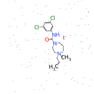 C=CC[N+]1(C)CCCN(C(=O)Nc2cc(Cl)cc(Cl)c2)CC1.[I-]